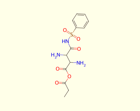 CCC(=O)OC(=O)C(N)C(N)C(=O)NS(=O)(=O)c1ccccc1